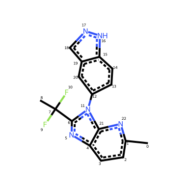 Cc1ccc2nc(C(C)(F)F)n(-c3ccc4[nH]ncc4c3)c2n1